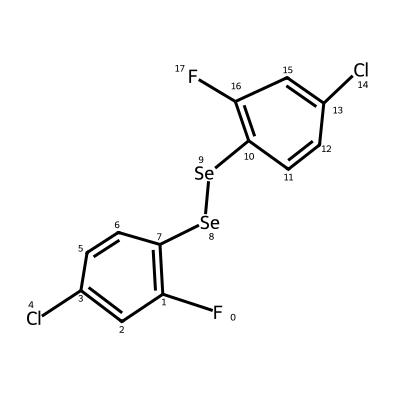 Fc1cc(Cl)ccc1[Se][Se]c1ccc(Cl)cc1F